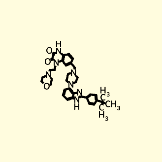 CC(C)(C)c1ccc(-c2nc3c(N4CCN(Cc5ccc6[nH]c(=O)c(=O)n(CCN7CCOCC7)c6c5)CC4)cccc3[nH]2)cc1